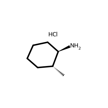 C[C@@H]1CCCC[C@H]1N.Cl